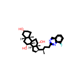 C[C@H](CCc1ncc2cccc(F)c2n1)[C@H]1CC[C@H]2[C@H]3C(C[C@H](O)[C@]12C)[C@@]1(C)CC[C@@H](O)C[C@H]1C[C@H]3O